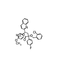 COC(=O)C(CC(c1ccc(OC)cc1)c1ccc2ccccc2n1)(OCc1ccccc1Cl)c1ccc(F)cc1